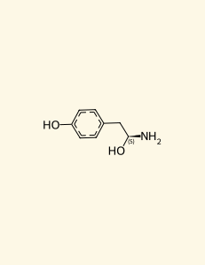 N[C@@H](O)Cc1ccc(O)cc1